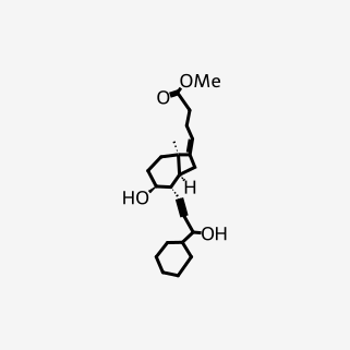 COC(=O)CC/C=C1/C[C@H]2[C@H](C#CC(O)C3CCCCC3)[C@@H](O)CC[C@@]12C